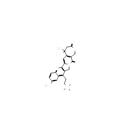 CCC1(O)CC(=O)OCc2c1cc1n(c2=O)Cc2c-1nc1ccc(O)cc1c2CC[Si](C)(C)C